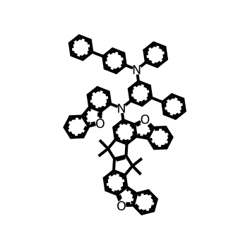 CC1(C)C2=C(c3c1cc(N(c1cc(-c4ccccc4)cc(N(c4ccccc4)c4ccc(-c5ccccc5)cc4)c1)c1cccc4c1oc1ccccc14)c1oc4ccccc4c31)C(C)(C)c1c2ccc2oc3ccccc3c12